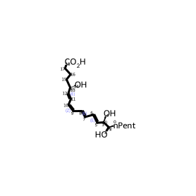 CCCCC[C@@H](O)[C@H](O)/C=C/C=C/C=C\C=C\[C@@H](O)CCCC(=O)O